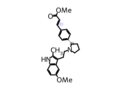 COC(=O)/C=C/c1ccc([C@@H]2CCCN2CCc2c(C)[nH]c3ccc(OC)cc23)cc1